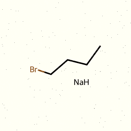 CCCCBr.[NaH]